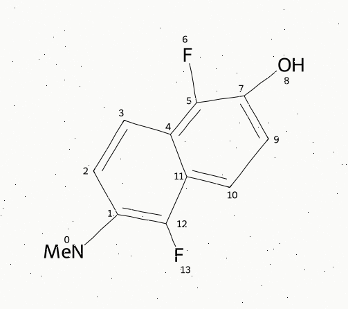 CNc1ccc2c(F)c(O)ccc2c1F